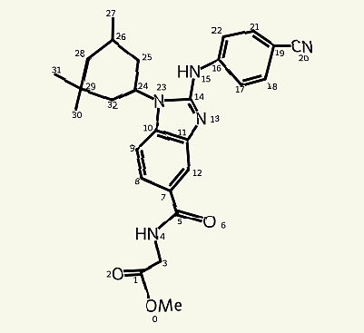 COC(=O)CNC(=O)c1ccc2c(c1)nc(Nc1ccc(C#N)cc1)n2C1CC(C)CC(C)(C)C1